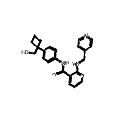 O=C(Nc1ccc(C2(CO)CCC2)cc1)c1cccnc1NCc1ccncc1